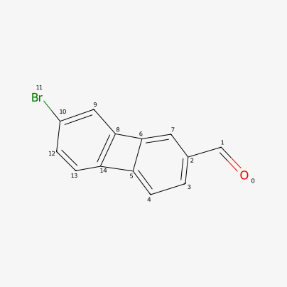 O=Cc1ccc2c(c1)-c1cc(Br)ccc1-2